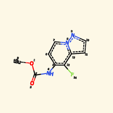 CC(C)(C)OC(=O)Nc1ccn2nccc2c1F